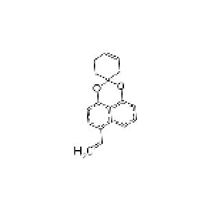 C=Cc1ccc2c3c(cccc13)OC1(CC=CCC1)O2